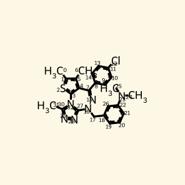 Cc1sc2c(c1C)C(c1ccc(Cl)cc1)=NN(Cc1cccc(N(C)C)c1)c1nnc(C)n1-2